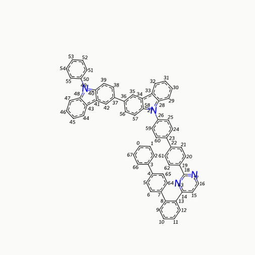 c1ccc(-c2ccc(-c3ccccc3-c3ccnc(-c4ccc(-c5ccc(-n6c7ccccc7c7cc(-c8ccc9c(c8)c8ccccc8n9-c8ccccc8)ccc76)cc5)cc4)n3)cc2)cc1